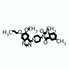 CCCOc1cc2ncnc(N3CCC(n4c(=O)c5cc(C)ccc5n(C)c4=O)CC3)c2cc1OC